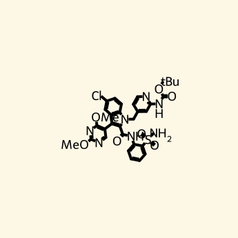 COc1ncc(-c2c(C(=O)Nc3ccccc3S(N)(=O)=O)n(Cc3ccnc(NC(=O)OC(C)(C)C)c3)c3ccc(Cl)cc23)c(OC)n1